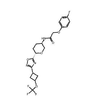 O=C(COc1ccc(F)cc1)N[C@@H]1CC[C@@H](c2nc(C3CC(OC(F)(F)F)C3)no2)OC1